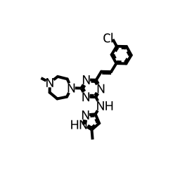 Cc1cc(Nc2nc(/C=C/c3cccc(Cl)c3)nc(N3CCCN(C)CC3)n2)n[nH]1